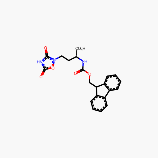 O=C(N[C@@H](CCn1oc(=O)[nH]c1=O)C(=O)O)OCC1c2ccccc2-c2ccccc21